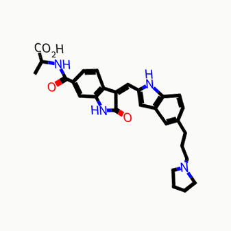 CC(NC(=O)c1ccc2c(c1)NC(=O)C2=Cc1cc2cc(CCCN3CCCC3)ccc2[nH]1)C(=O)O